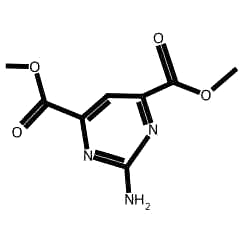 COC(=O)c1cc(C(=O)OC)nc(N)n1